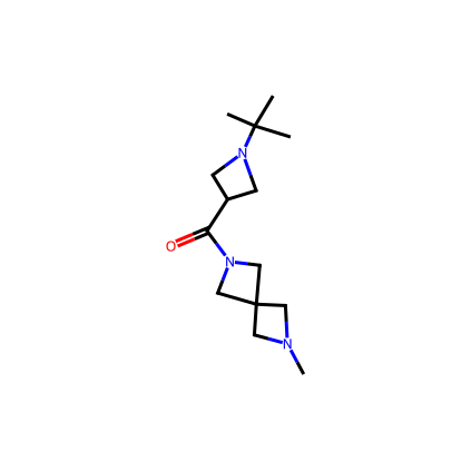 CN1CC2(C1)CN(C(=O)C1CN(C(C)(C)C)C1)C2